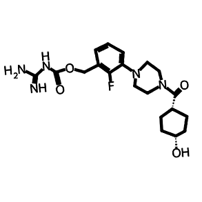 N=C(N)NC(=O)OCc1cccc(N2CCN(C(=O)[C@H]3CC[C@@H](O)CC3)CC2)c1F